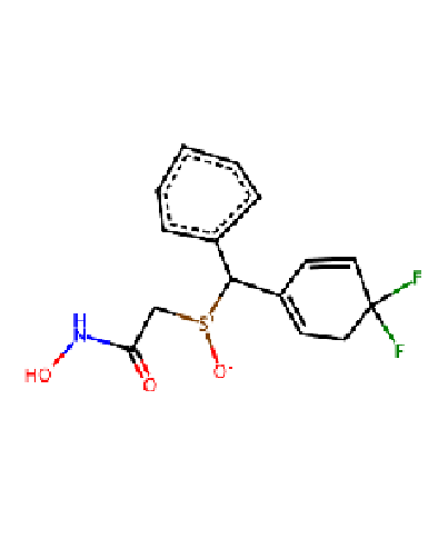 O=C(C[S+]([O-])C(C1=CCC(F)(F)C=C1)c1ccccc1)NO